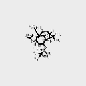 CC1=C[C@]23C(O)[C@@H](C(O[Si](C)(C)C(C)(C)C)[C@H](C)[C@H]4OC(=O)O[C@]42[C@H]1O)[C@H]1[C@@H](C[C@H]3C)C1(C)C